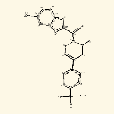 CC1CC(c2ccc(C(F)(F)F)cc2)=CCN1C(=O)c1cc2ncc(Br)cn2n1